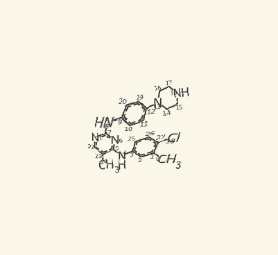 Cc1cc(Nc2nc(Nc3ccc(N4CCNCC4)cc3)ncc2C)ccc1Cl